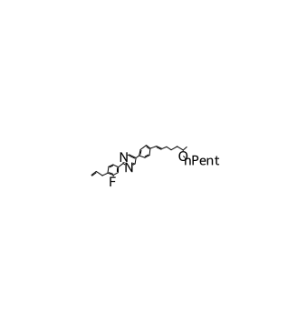 C=CCc1ccc(-c2ncc(-c3ccc(C=CCCCC(C)OCCCCC)cc3)cn2)cc1F